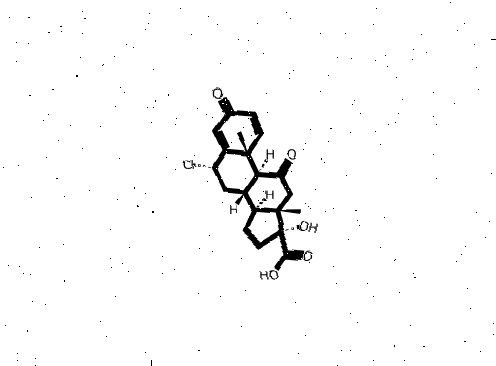 C[C@]12C=CC(=O)C=C1[C@@H](Cl)C[C@@H]1[C@@H]2C(=O)C[C@@]2(C)[C@H]1CC[C@]2(O)C(=O)O